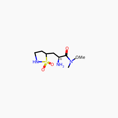 CON(C)C(=O)[C@@H](N)CC1CCNS1(=O)=O